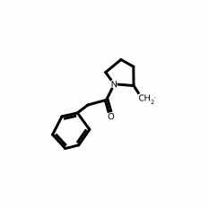 [CH2]C1CCCN1C(=O)Cc1ccccc1